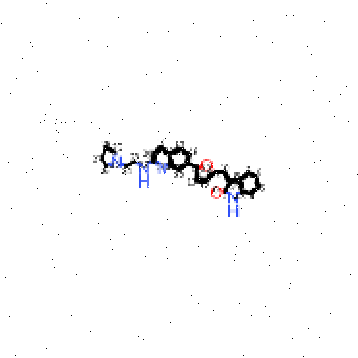 O=C1Nc2ccccc2C1=Cc1ccc(-c2ccc3ccc(NCCN4CCCC4)nc3c2)o1